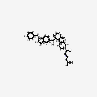 CNC/C=C/C(=O)N1CCc2c(sc3ncnc(Nc4ccc5c(ccn5Cc5ccccc5)c4)c23)C1